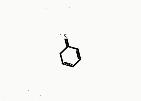 S=C1C=CC=[C]C1